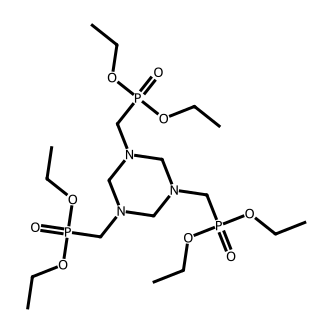 CCOP(=O)(CN1CN(CP(=O)(OCC)OCC)CN(CP(=O)(OCC)OCC)C1)OCC